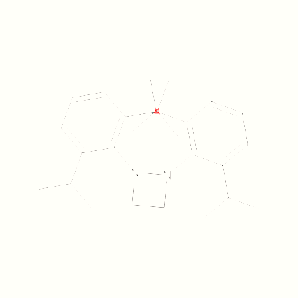 CC(C)c1cccc(C(C)C)c1N1CCN1c1c(C(C)C)cccc1C(C)C